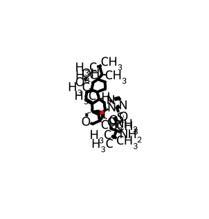 CC(C)[C@@H](C)[C@@]1(C)CC[C@]2(C)[C@H]3CC[C@@H]4[C@@]5(COC[C@]4(C)[C@@H](OC[C@](C)(N)C(C)(C)C)[C@H](n4ncnc4S(N)(=O)=O)C5)C3=CC[C@@]2(C)[C@@H]1C(=O)O